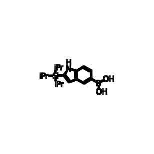 CC(C)[Si](c1cc2cc(B(O)O)ccc2[nH]1)(C(C)C)C(C)C